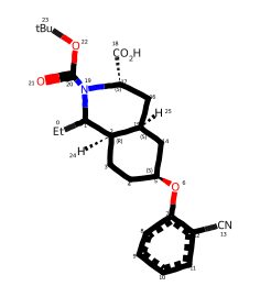 CCC1[C@@H]2CC[C@H](Oc3ccccc3C#N)C[C@@H]2C[C@@H](C(=O)O)N1C(=O)OC(C)(C)C